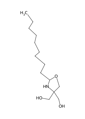 CCCCCCCCCC1NC(CO)(CO)CO1